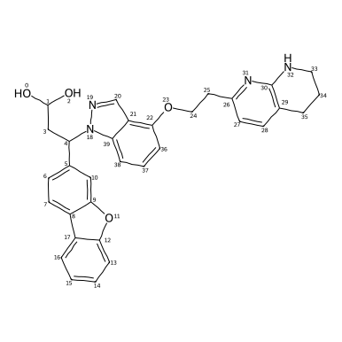 OC(O)CC(c1ccc2c(c1)oc1ccccc12)n1ncc2c(OCCc3ccc4c(n3)NCCC4)cccc21